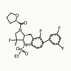 CCS(=O)(=O)N[C@@H]1[C@H](Cc2cccc(-c3cc(F)cc(F)c3)c2F)N(C(=O)[C@H]2CCCO2)CC1(F)F